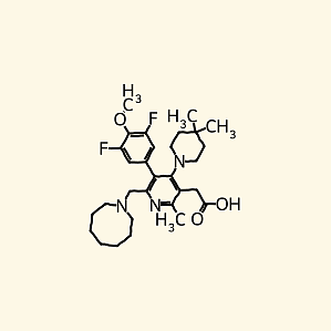 COc1c(F)cc(-c2c(CN3CCCCCCC3)nc(C)c(CC(=O)O)c2N2CCC(C)(C)CC2)cc1F